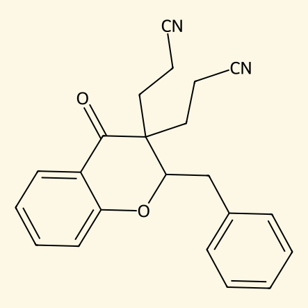 N#CCCC1(CCC#N)C(=O)c2ccccc2OC1Cc1ccccc1